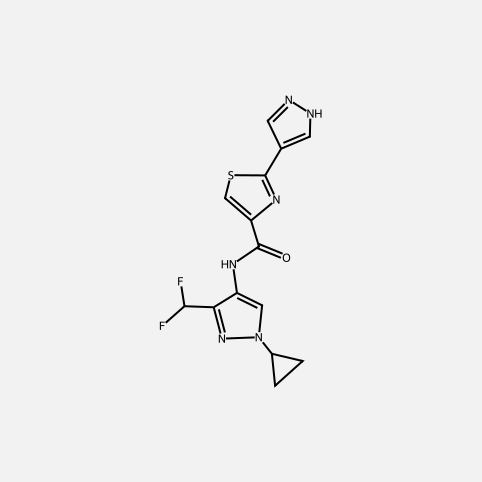 O=C(Nc1cn(C2CC2)nc1C(F)F)c1csc(-c2cn[nH]c2)n1